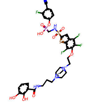 N#Cc1ccc(OP(=O)(O)CNS(=O)(=O)c2cc3c(F)c(F)c(OCC[N+]45CC[N+](CCCNC(=O)c6cccc(O)c6O)(CC4)CC5)c(F)c3s2)cc1F